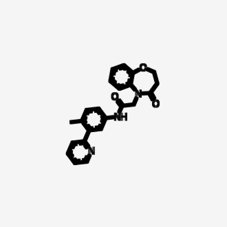 Cc1ccc(NC(=O)CN2C(=O)CCOc3ccccc32)cc1-c1ccccn1